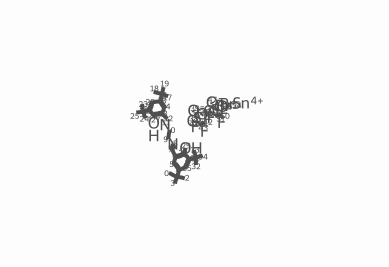 CC(C)(C)c1cc(C=NCCN=Cc2cc(C(C)(C)C)cc(C(C)(C)C)c2O)c(O)c(C(C)(C)C)c1.O=S(=O)([O-])C(F)(F)F.O=S(=O)([O-])C(F)(F)F.[Br-].[Br-].[Sn+4]